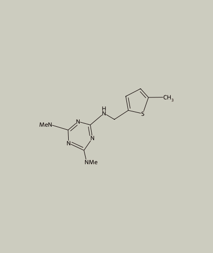 CNc1nc(NC)nc(NCc2ccc(C)s2)n1